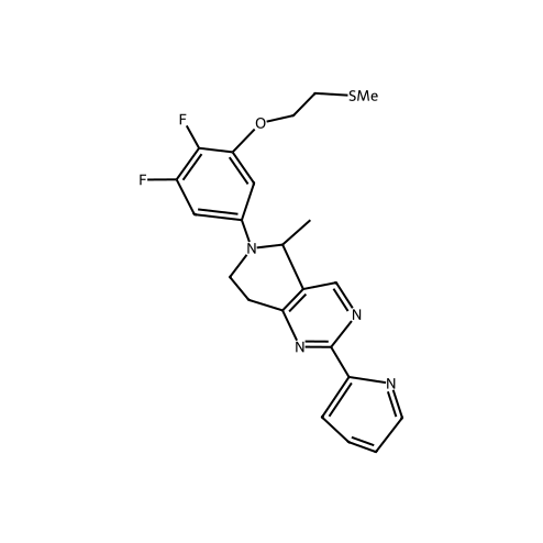 CSCCOc1cc(N2CCc3nc(-c4ccccn4)ncc3C2C)cc(F)c1F